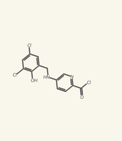 O=C(Cl)c1ccc(NCc2cc(Cl)cc(Cl)c2O)cn1